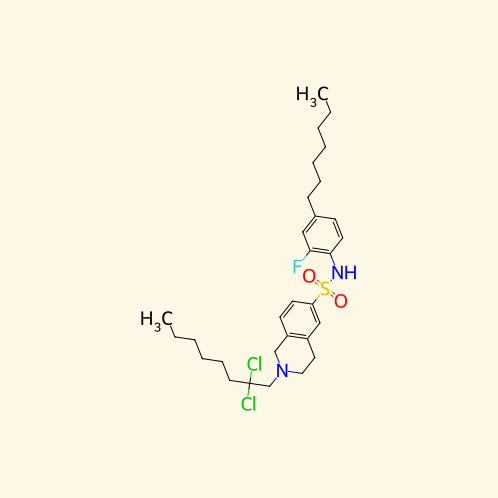 CCCCCCCc1ccc(NS(=O)(=O)c2ccc3c(c2)CCN(CC(Cl)(Cl)CCCCCC)C3)c(F)c1